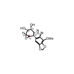 COc1c(Br)c([C@@H]2[C@@H](N)[C@H](O)[C@H](O)[C@H]3O[C@H]32)cc2c1OCO2